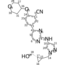 N#Cc1cc(-c2ccnc(Nc3cnn(CC4C[C@@H]4CO)c3)n2)ccc1OC1CCOCC1